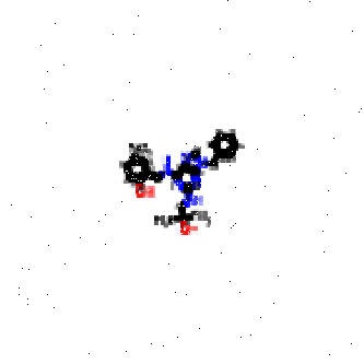 CC(C)(O)CNc1nc(NCc2cc([N+](=O)[O-])ccc2O)c2ncn(Cc3ccccc3)c2n1